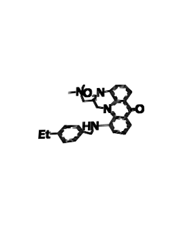 CCc1ccc(CNc2cccc3c(=O)c4cccc([N+](=O)[O-])c4n(CCCN(C)C)c23)cc1